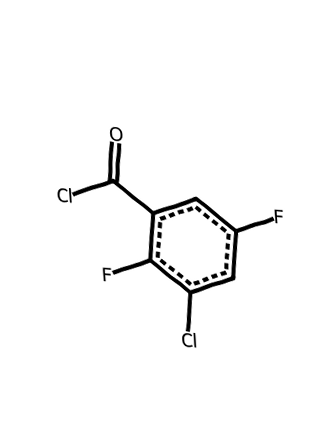 O=C(Cl)c1cc(F)cc(Cl)c1F